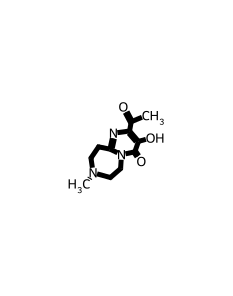 CC(=O)c1nc2n(c(=O)c1O)CCN(C)CC2